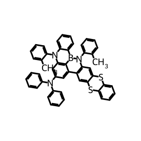 Cc1ccccc1N1B2c3ccccc3N(c3ccccc3C)c3cc(N(c4ccccc4)c4ccccc4)cc(c32)-c2cc3c(cc21)Sc1ccccc1S3